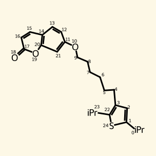 CC(C)c1cc(CCCCCCOc2ccc3ccc(=O)oc3c2)c(C(C)C)s1